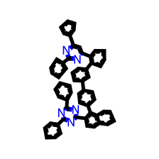 c1ccc(-c2cc(-c3ccccc3-c3cccc(-c4ccc(-c5c(-c6nc(-c7ccccc7)nc(-c7ccccc7)n6)ccc6ccccc56)cc4)c3)nc(-c3ccccc3)n2)cc1